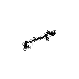 Cc1ncc(NC(=O)c2cccc(C(F)(F)F)c2)cc1-c1cnc(OCCOCCOCCOCC(=O)NCCOCCCc2cccc3c2CN(C2CCC(=O)NC2=O)C3=O)c(N2CCOCC2)c1